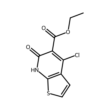 CCOC(=O)c1c(Cl)c2ccsc2[nH]c1=O